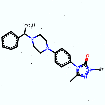 Cc1nn(C(C)C)c(=O)n1-c1ccc(N2CCN(C(C(=O)O)c3ccccc3)CC2)cc1